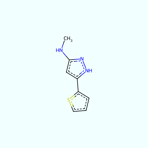 CNc1cc(-c2cccs2)[nH]n1